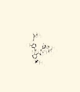 CCn1ncc(CN(C)C(=O)c2nc(-c3ccc(OCCNC)c(Cl)c3)nc3ccc(S(C)(=O)=O)cc23)c1C